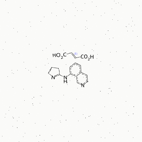 O=C(O)/C=C/C(=O)O.c1cc(NC2=NCCC2)c2cnccc2c1